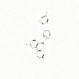 Cc1ccc(OC2CC3CC2N(C(=O)c2ccc(C)nc2-c2ncc(F)cn2)C3)nc1